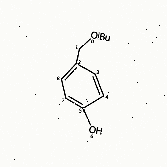 CC(C)COCc1ccc(O)cc1